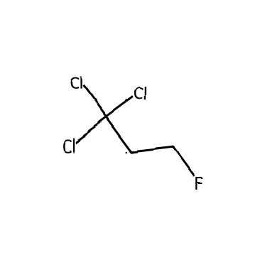 FC[CH]C(Cl)(Cl)Cl